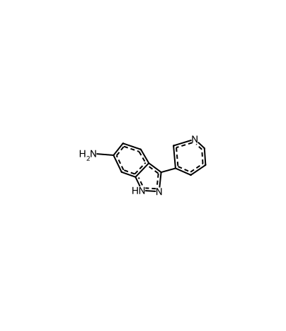 Nc1ccc2c(-c3cccnc3)n[nH]c2c1